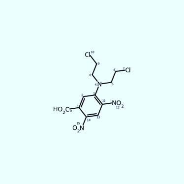 O=C(O)c1cc(N(CCCl)CCCl)c([N+](=O)[O-])cc1[N+](=O)[O-]